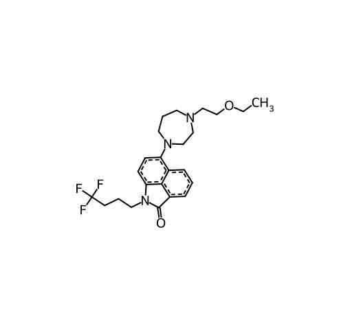 CCOCCN1CCCN(c2ccc3c4c(cccc24)C(=O)N3CCCC(F)(F)F)CC1